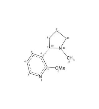 COc1ncccc1[C@@H]1CCCN1C